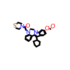 O=COc1ccc2c(C3CCCCC3)c3n(c2c1)CCN(CC(=O)N1CCSCC1)c1ccccc1-3